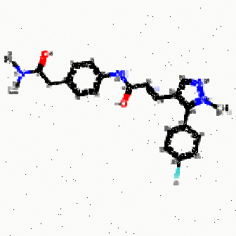 CCN(CC)C(=O)Cc1ccc(NC(=O)/C=C/c2cnn(C)c2-c2ccc(F)cc2)cc1